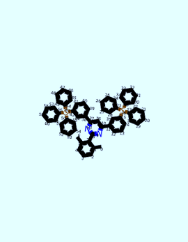 Cc1cccc(C)c1-c1nc(-c2cccc(S(c3ccccc3)(c3ccccc3)c3ccccc3)c2)cc(-c2cccc(S(c3ccccc3)(c3ccccc3)c3ccccc3)c2)n1